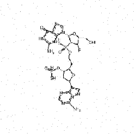 Nc1nc2c(ncn2[C@@H]2O[C@H](CO)[C@@H](F)[C@H]2P(=O)(S)OCC[C@H]2O[C@@H](c3cnn4c(N)ncnc34)C[C@@H]2O[PH](=O)S)c(=O)[nH]1